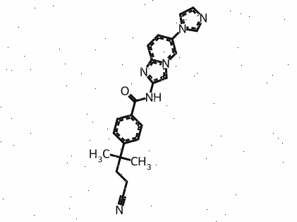 CC(C)(CCC#N)c1ccc(C(=O)Nc2cn3cc(-n4ccnc4)ccc3n2)cc1